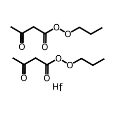 CCCOOC(=O)CC(C)=O.CCCOOC(=O)CC(C)=O.[Hf]